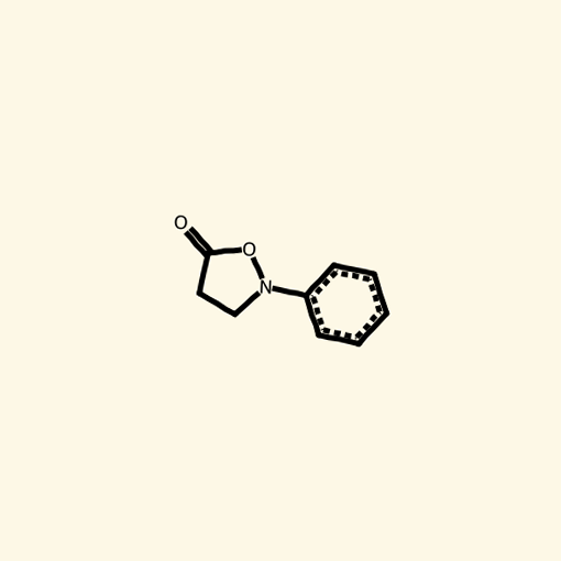 O=C1CCN(c2ccccc2)O1